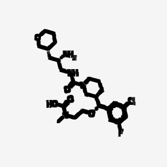 CN(CCO[C@@H](c1cc(F)cc(Cl)c1)[C@@H]1CCCN(C(=O)NC[C@@H](N)C[C@H]2CCCOC2)C1)C(=O)O